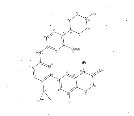 COc1cc(Nc2ncc(C3CC3)c(-c3cc(C)c4c(c3)N(C(C)C)C(=O)CO4)n2)ccc1C1CCN(C)CC1